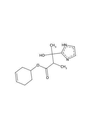 CC(C(=O)OC1CC=CCC1)C(C)(O)c1ncc[nH]1